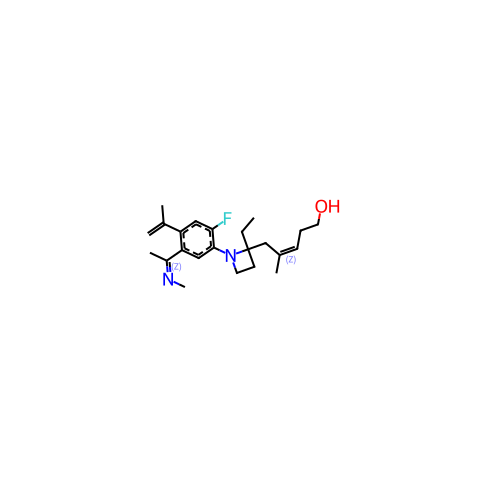 C=C(C)c1cc(F)c(N2CCC2(CC)C/C(C)=C\CCO)cc1/C(C)=N\C